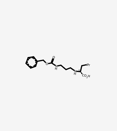 CC(C)C[C@H](NCCCNC(=O)OCc1ccccc1)C(=O)O